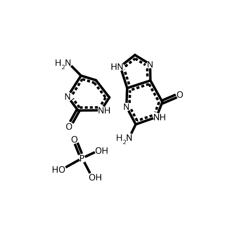 Nc1cc[nH]c(=O)n1.Nc1nc2[nH]cnc2c(=O)[nH]1.O=P(O)(O)O